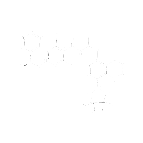 CC1(C)OB(c2ccc(CC(NC(=O)c3c(F)cc(N[C@H](c4ccccc4)C(F)(F)F)cc3F)C(=O)O)c3c2OCCC3)OC1(C)C